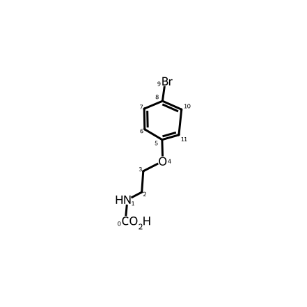 O=C(O)NCCOc1ccc(Br)cc1